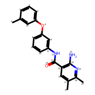 Cc1cccc(Oc2cccc(NC(=O)c3cc(C)c(C)nc3N)c2)c1